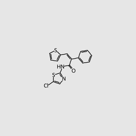 O=C(Nc1ncc(Cl)s1)C(=Cc1cccs1)c1ccccc1